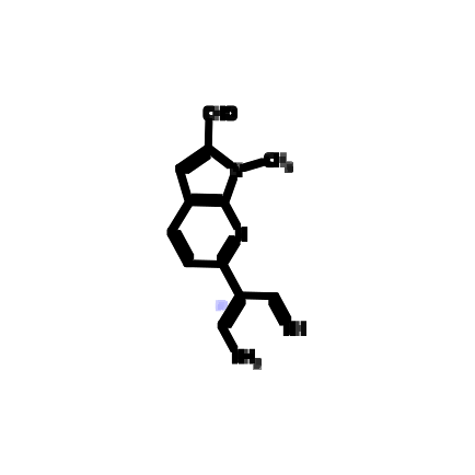 Cn1c(C=O)cc2ccc(/C(C=N)=C/N)nc21